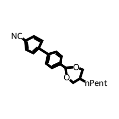 CCCCCC1COC(c2ccc(-c3ccc(C#N)cc3)cc2)OC1